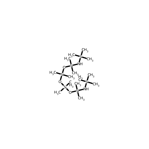 C[Si](C)(C)N[Si](C)(C)O[Si](C)(C)O[Si](C)(C)O[Si](C)(C)N[Si](C)(C)C